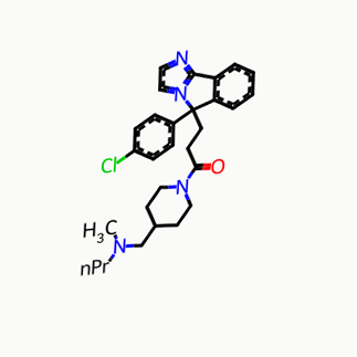 CCCN(C)CC1CCN(C(=O)CCC2(c3ccc(Cl)cc3)c3ccccc3-c3nccn32)CC1